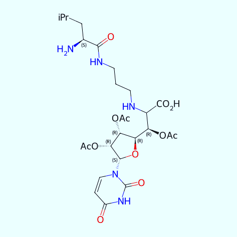 CC(=O)O[C@H]1[C@@H](OC(C)=O)[C@@H](n2ccc(=O)[nH]c2=O)O[C@@H]1[C@H](OC(C)=O)C(NCCCNC(=O)[C@@H](N)CC(C)C)C(=O)O